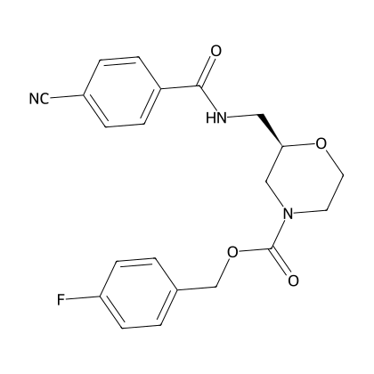 N#Cc1ccc(C(=O)NC[C@@H]2CN(C(=O)OCc3ccc(F)cc3)CCO2)cc1